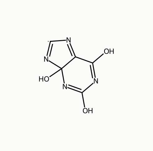 OC1=NC2(O)N=[C]N=C2C(O)=N1